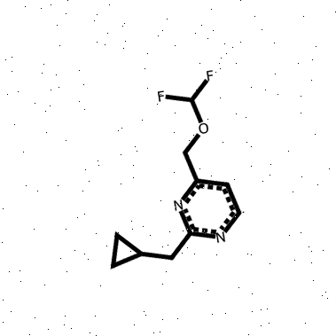 FC(F)OCc1c[c]nc(CC2CC2)n1